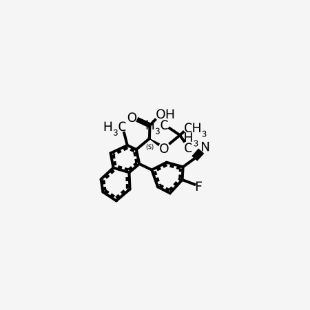 Cc1cc2ccccc2c(-c2ccc(F)c(C#N)c2)c1[C@H](OC(C)(C)C)C(=O)O